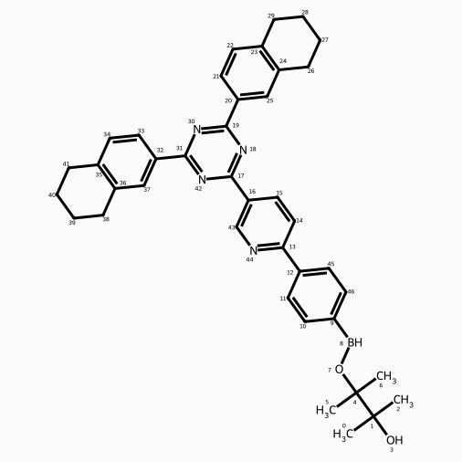 CC(C)(O)C(C)(C)OBc1ccc(-c2ccc(-c3nc(-c4ccc5c(c4)CCCC5)nc(-c4ccc5c(c4)CCCC5)n3)cn2)cc1